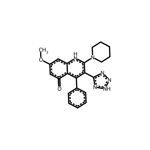 COc1cc2[nH]c(N3CCCCC3)c(-c3nn[nH]n3)c(-c3ccccc3)c-2c(=O)c1